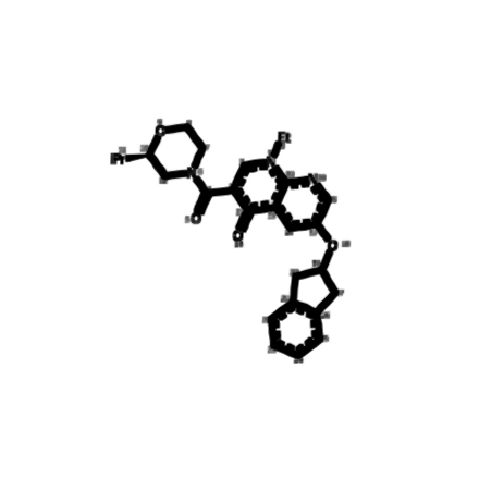 CCn1cc(C(=O)N2CCO[C@H](C(C)C)C2)c(=O)c2cc(OC3Cc4ccccc4C3)cnc21